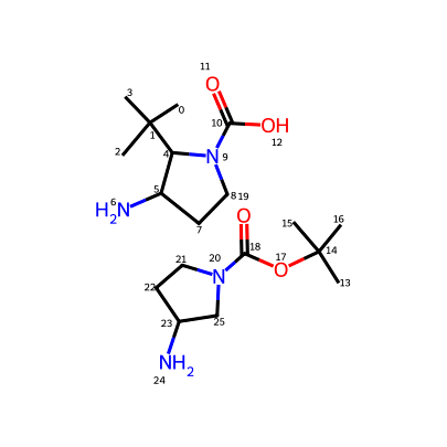 CC(C)(C)C1C(N)CCN1C(=O)O.CC(C)(C)OC(=O)N1CCC(N)C1